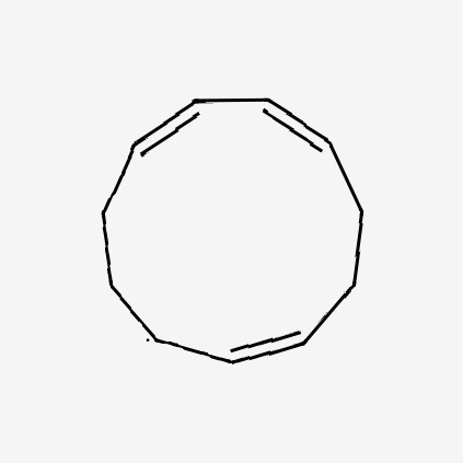 [CH]1/C=C\CC/C=C\C=C/CC1